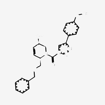 O=C(N1C[C@H](O)C=C[C@@H]1COCc1ccccc1)n1cc(-c2ccc(OC(F)(F)F)cc2)nn1